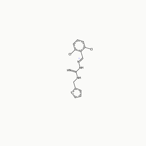 N=C(NCc1cccs1)N/N=C/c1c(Cl)cccc1Cl